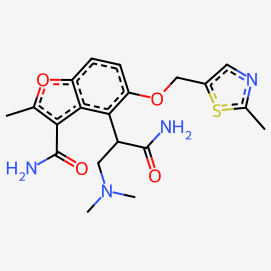 Cc1ncc(COc2ccc3oc(C)c(C(N)=O)c3c2C(CN(C)C)C(N)=O)s1